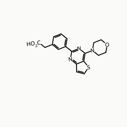 O=C(O)Cc1cccc(-c2nc(N3CCOCC3)c3sccc3n2)c1